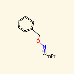 CCC/[C]=N/OCc1ccccc1